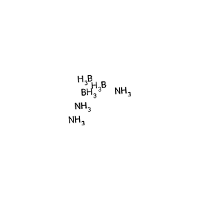 B.B.B.N.N.N